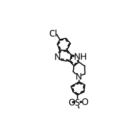 CS(=O)(=O)c1ccc(N2CCc3[nH]c4c(cnc5cc(Cl)ccc54)c3C2)cc1